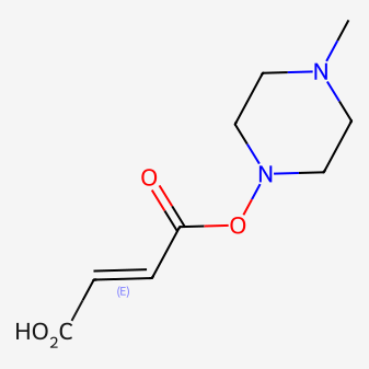 CN1CCN(OC(=O)/C=C/C(=O)O)CC1